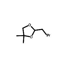 CC(C)CC1OCC(C)(C)O1